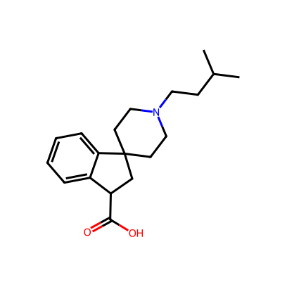 CC(C)CCN1CCC2(CC1)CC(C(=O)O)c1ccccc12